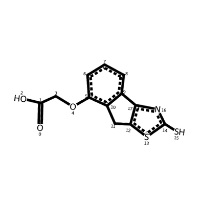 O=C(O)COc1cccc2c1Cc1sc(S)nc1-2